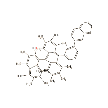 Bc1c(B)c(B)c2c(-c3c4c(B)c(B)c(B)c(B)c4c(-c4cccc(-c5ccc6ccccc6c5)c4)c4c(B)c(B)c(B)c(B)c34)c(B)c(B)c(B)c2c1B